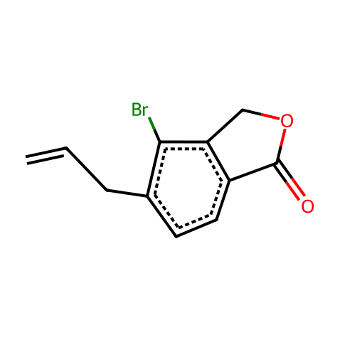 C=CCc1ccc2c(c1Br)COC2=O